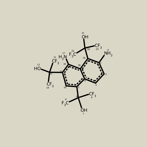 Nc1ccc2c(C(O)(C(F)(F)F)C(F)(F)F)cc(C(O)(C(F)(F)F)C(F)(F)F)c(N)c2c1C(O)(C(F)(F)F)C(F)(F)F